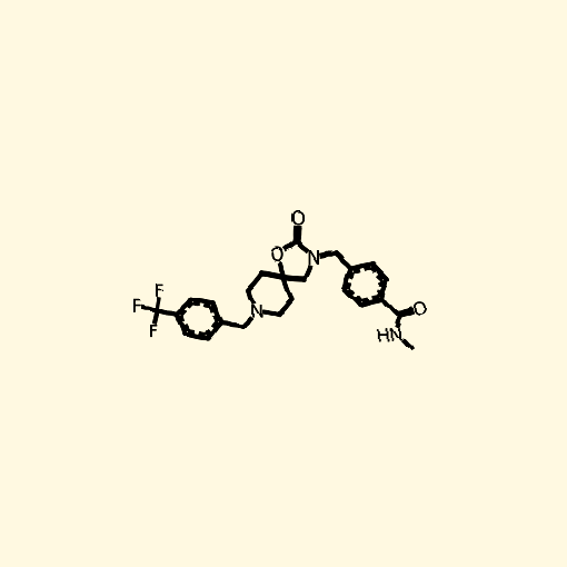 CNC(=O)c1ccc(CN2CC3(CCN(Cc4ccc(C(F)(F)F)cc4)CC3)OC2=O)cc1